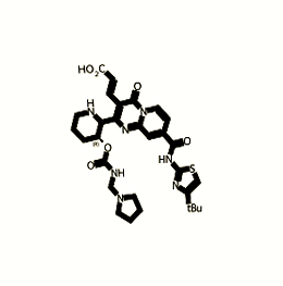 CC(C)(C)c1csc(NC(=O)c2ccn3c(=O)c(C=CC(=O)O)c(C4NCCC[C@H]4OC(=O)NCN4CCCC4)nc3c2)n1